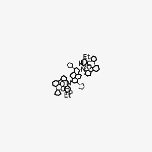 CCc1ccc(N(c2cc(C3CCCC3)c3ccc4c(N(c5ccc(CC)cc5)c5cccc6c5oc5c(-c7ccccc7C)cccc56)cc(C5CCCC5)c5ccc2c3c54)c2cccc3c2oc2c(-c4ccccc4C)cccc23)cc1